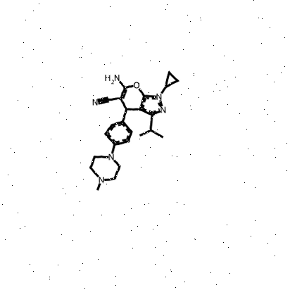 CC(C)c1nn(C2CC2)c2c1C(c1ccc(N3CCN(C)CC3)cc1)C(C#N)=C(N)O2